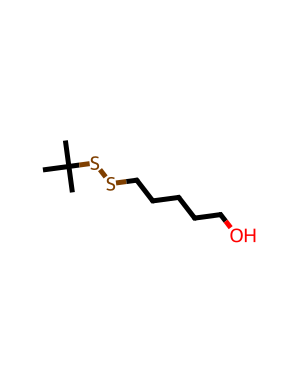 CC(C)(C)SSCCCCCO